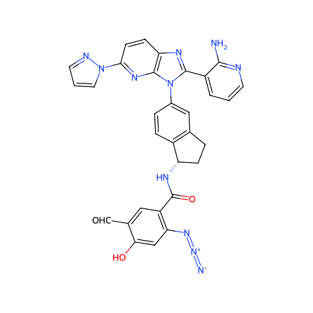 [N-]=[N+]=Nc1cc(O)c(C=O)cc1C(=O)N[C@H]1CCc2cc(-n3c(-c4cccnc4N)nc4ccc(-n5cccn5)nc43)ccc21